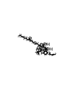 CC#CCOc1ccc(C[C@H](NC(=O)[C@@H](/C=C/CCCCCCC(=O)CCCCCCC)[C@@](O)(CC(=O)O)C(=O)O)C(=O)N(C)C)cc1